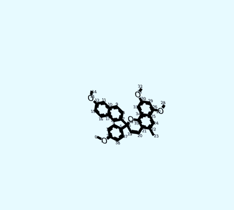 COc1ccc(C2(c3ccc4cc(OC)ccc4c3)C=Cc3c(C)cc4c(OC)cc(OC)cc4c3O2)cc1